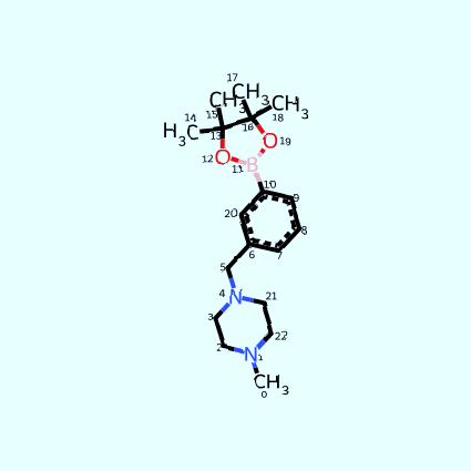 CN1CCN(Cc2cccc(B3OC(C)(C)C(C)(C)O3)c2)CC1